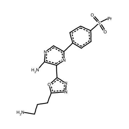 CC(C)S(=O)(=O)c1ccc(-c2cnc(N)c(-c3nnc(CCCN)o3)n2)cc1